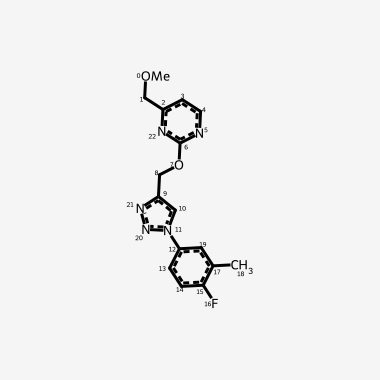 COCc1ccnc(OCc2cn(-c3ccc(F)c(C)c3)nn2)n1